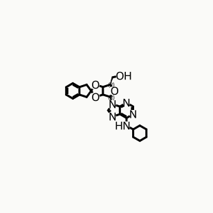 OC[C@H]1O[C@@H](n2cnc3c(NC4CCCCC4)ncnc32)C2OC3(Cc4ccccc4C3)OC21